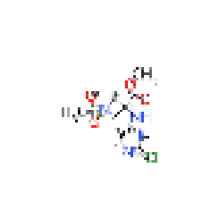 COC(=O)C1(Nc2ccnc(Cl)n2)CN(S(C)(=O)=O)C1